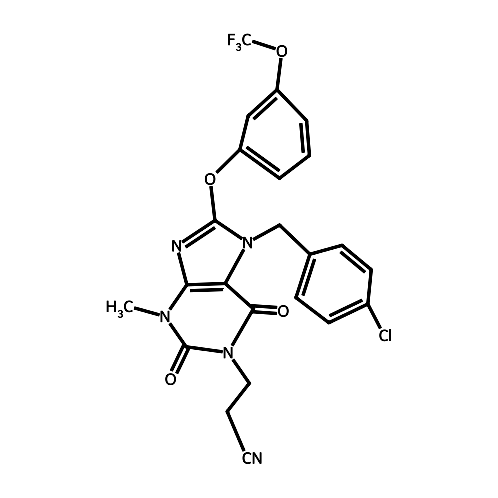 Cn1c(=O)n(CCC#N)c(=O)c2c1nc(Oc1cccc(OC(F)(F)F)c1)n2Cc1ccc(Cl)cc1